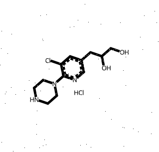 Cl.OCC(O)Cc1cnc(N2CCNCC2)c(Cl)c1